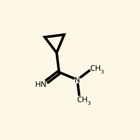 CN(C)C(=N)C1CC1